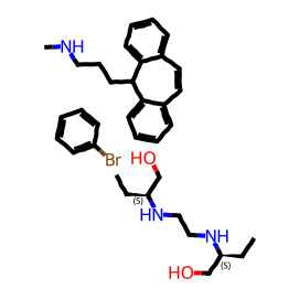 Brc1ccccc1.CC[C@@H](CO)NCCN[C@@H](CC)CO.CNCCCC1c2ccccc2C=Cc2ccccc21